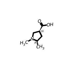 C[C@@H]1C[C@H](C(=O)O)CN1C